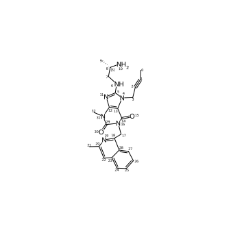 CC#CCn1c(NC[C@H](C)N)nc2c1c(=O)n(Cc1nc(C)cc3ccccc13)c(=O)n2C